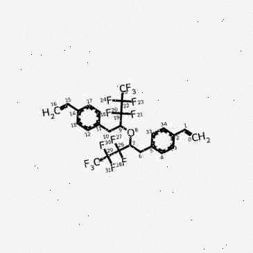 C=Cc1ccc(CC(OC(Cc2ccc(C=C)cc2)C(F)(F)C(F)(F)C(F)(F)F)C(F)(F)C(F)(F)C(F)(F)F)cc1